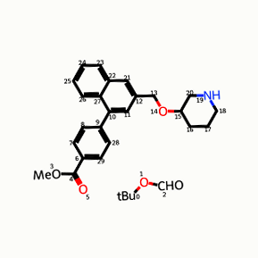 CC(C)(C)OC=O.COC(=O)c1ccc(-c2cc(COC3CCCNC3)cc3ccccc23)cc1